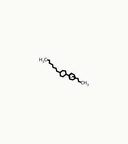 CCCCCCCC1CCC(C23CCC(CCC)(CC2)CC3)CC1